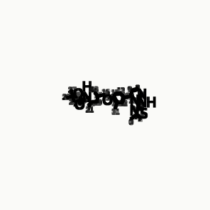 Cc1csc(Nc2nccc(-c3ccc(OCC(C)CC(C)NC(=O)OC(C)(C)C)c(C)c3)n2)n1